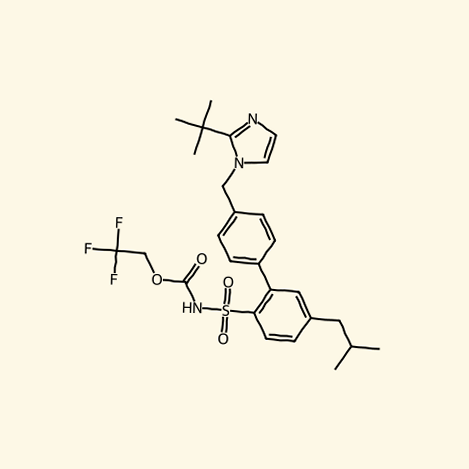 CC(C)Cc1ccc(S(=O)(=O)NC(=O)OCC(F)(F)F)c(-c2ccc(Cn3ccnc3C(C)(C)C)cc2)c1